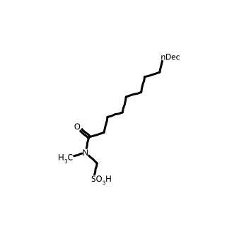 CCCCCCCCCCCCCCCCCC(=O)N(C)CS(=O)(=O)O